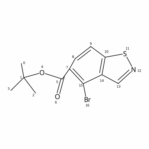 CC(C)(C)OC(=O)c1ccc2sncc2c1Br